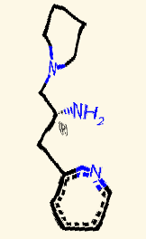 N[C@H](Cc1ccccn1)CN1CCCC1